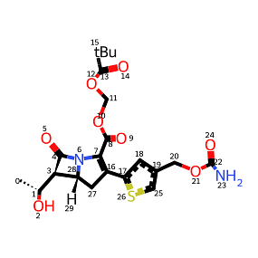 C[C@@H](O)[C@H]1C(=O)N2C(C(=O)OCOC(=O)C(C)(C)C)=C(c3cc(COC(N)=O)cs3)C[C@H]12